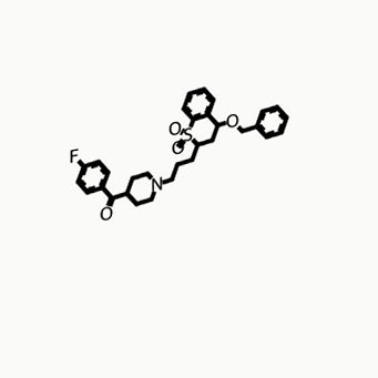 O=C(c1ccc(F)cc1)C1CCN(CCCC2CC(OCc3ccccc3)c3ccccc3S2(=O)=O)CC1